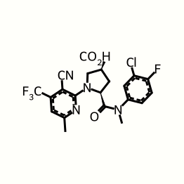 Cc1cc(C(F)(F)F)c(C#N)c(N2C[C@@H](C(=O)O)C[C@H]2C(=O)N(C)c2ccc(F)c(Cl)c2)n1